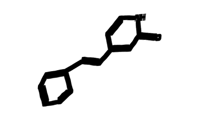 O=c1cc(/C=C/c2ccccc2)cc[nH]1